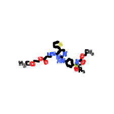 CCOC(=O)N=S(C)(=O)c1ccc(Nc2ncc(-c3cccs3)c(NCCC(=O)OCCOC)n2)cc1